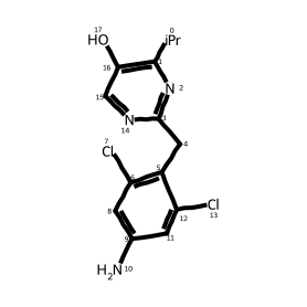 CC(C)c1nc(Cc2c(Cl)cc(N)cc2Cl)ncc1O